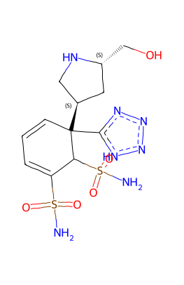 NS(=O)(=O)C1=CC=CC(c2nnn[nH]2)([C@H]2CN[C@H](CO)C2)C1S(N)(=O)=O